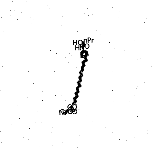 CCCC(O)C(=O)Nc1ccc(CCCCCCCCCCCCCCCCCCOP(=O)([O-])OCC[N+](C)(C)C)cc1